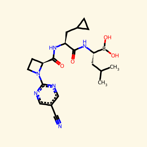 CC(C)C[C@H](NC(=O)[C@H](CC1CC1)NC(=O)[C@@H]1CCN1c1ncc(C#N)cn1)B(O)O